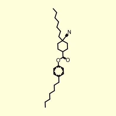 CCCCCCCc1ccc(OC(=O)C2CCC(C#N)(CCCCCCC)CC2)cc1